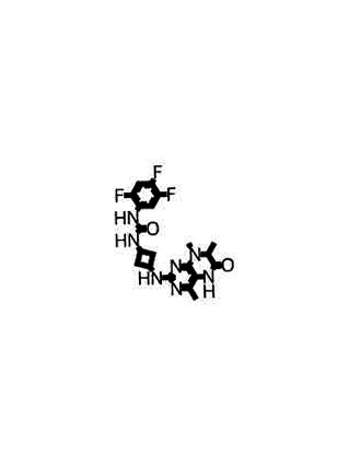 Cc1nc(NC2CC(NC(=O)Nc3cc(F)c(F)cc3F)C2)nc2c1NC(=O)C(C)N2C